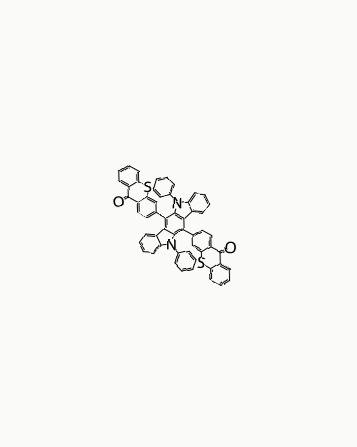 O=c1c2ccccc2sc2cc(-c3c4c5ccccc5n(-c5ccccc5)c4c(-c4ccc5c(=O)c6ccccc6sc5c4)c4c5ccccc5n(-c5ccccc5)c34)ccc12